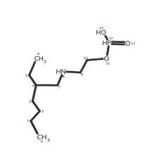 CCCCC(CC)CNCCO[PH](=O)O